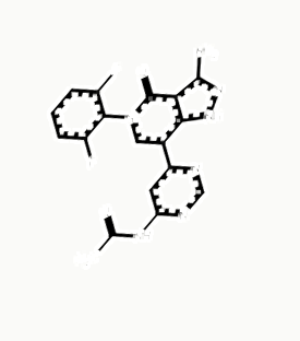 CC(=O)Nc1cc(-c2cn(-c3c(F)cccc3F)c(=O)c3c(N)n[nH]c23)ncn1